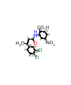 C/C(=C/C(=O)Nc1cc([N+](=O)[O-])ccc1C(=O)O)c1ccc(Cl)c(Cl)c1